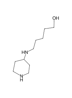 OCCCCCNC1CCNCC1